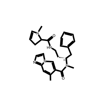 Cc1cc2nccn2cc1C(=O)N(C)[C@H](CCNC(=O)C1CC=CN1C)Cc1ccccc1